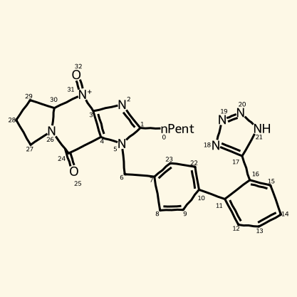 CCCCCc1nc2c(n1Cc1ccc(-c3ccccc3-c3nnn[nH]3)cc1)C(=O)N1CCCC1[N+]2=O